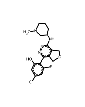 CN1CCC[C@@H](Nc2nnc(-c3c(O)cc(Cl)cc3F)c3c2COC3)C1